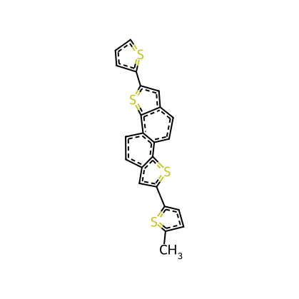 Cc1ccc(-c2cc3ccc4c(ccc5cc(-c6cccs6)sc54)c3s2)s1